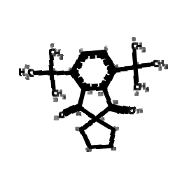 CC(C)(C)c1ccc(C(C)(C)C)c2c1C(=O)C1(CCCC1)C2=O